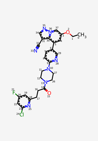 CCOc1cc(-c2ccc(N3CCN(C(=O)CCc4cc(F)cc(Cl)n4)CC3)nc2)c2c(C#N)cnn2c1